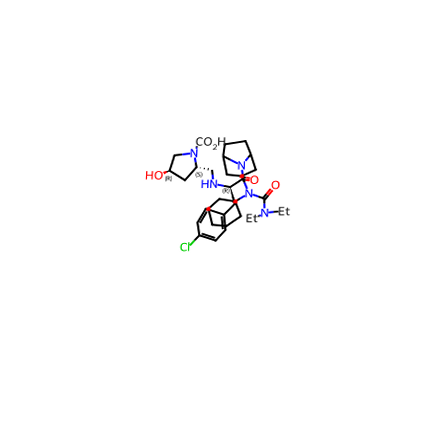 CCN(CC)C(=O)N(C1CCCCC1)C1CC2CCC(C1)N2C(=O)[C@@H](Cc1ccc(Cl)cc1)NC[C@@H]1C[C@@H](O)CN1C(=O)O